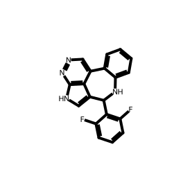 Fc1cccc(F)c1C1Nc2ccccc2-c2cnnc3[nH]cc1c23